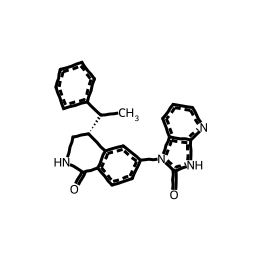 CC(c1ccccc1)[C@H]1CNC(=O)c2ccc(-n3c(=O)[nH]c4ncccc43)cc21